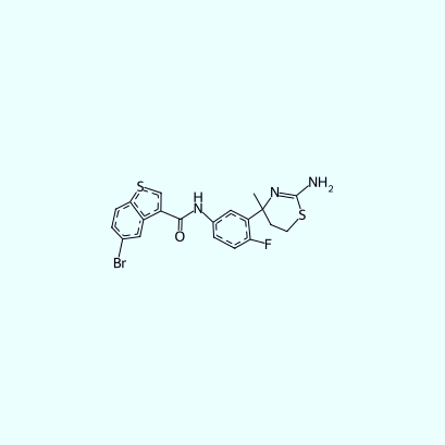 CC1(c2cc(NC(=O)c3csc4ccc(Br)cc34)ccc2F)CCSC(N)=N1